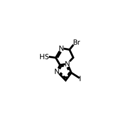 SC1=NC(Br)Cn2c(I)cnc21